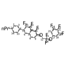 CCCc1ccc(-c2cc3ccc(OCC(F)(F)Oc4cc(F)c(F)c(F)c4)c(F)c3c(F)c2F)cc1